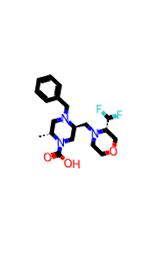 C[C@@H]1CN(Cc2ccccc2)[C@@H](CN2CCOC[C@H]2C(F)F)CN1C(=O)O